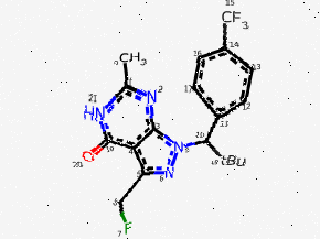 Cc1nc2c(c(CF)nn2C(c2ccc(C(F)(F)F)cc2)C(C)(C)C)c(=O)[nH]1